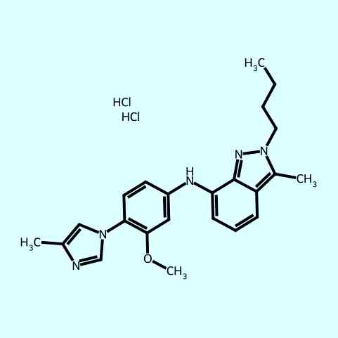 CCCCn1nc2c(Nc3ccc(-n4cnc(C)c4)c(OC)c3)cccc2c1C.Cl.Cl